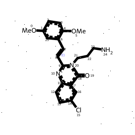 COc1ccc(OC)c(/C=C/c2nc3ccc(Cl)cc3c(=O)n2CCCN)c1